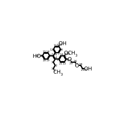 CCCCC(=C(c1ccc(O)cc1)c1ccc(O)cc1)c1ccc(OCCOCCO)c(OC)c1